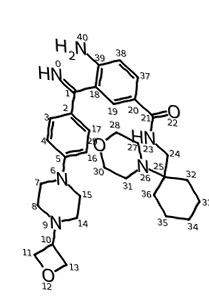 N=C(c1ccc(N2CCN(C3COC3)CC2)cc1)c1cc(C(=O)NCC2(N3CCOCC3)CCCCC2)ccc1N